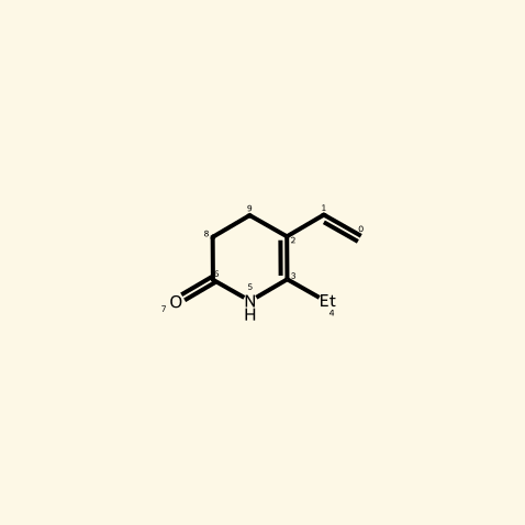 C=CC1=C(CC)NC(=O)CC1